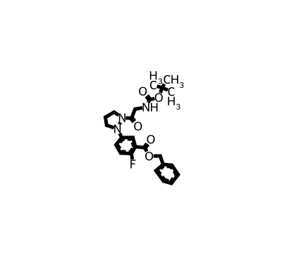 CC(C)(C)OC(=O)NCC(=O)N1CCCN1c1ccc(F)c(C(=O)OCc2ccccc2)c1